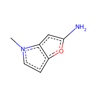 Cn1ccc2oc(N)cc21